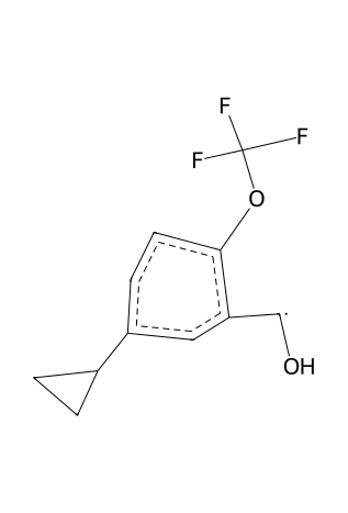 O[CH]c1cc(C2CC2)ccc1OC(F)(F)F